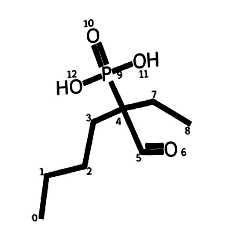 CCCCC(C=O)(CC)P(=O)(O)O